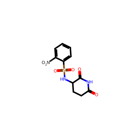 O=C1CCC(NS(=O)(=O)c2ccccc2[N+](=O)[O-])C(=O)N1